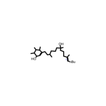 CCCC/C=C(\C)CCCC(C)(O)CCCC(C)CCC1=CC(O)C(C)C(C)C1C